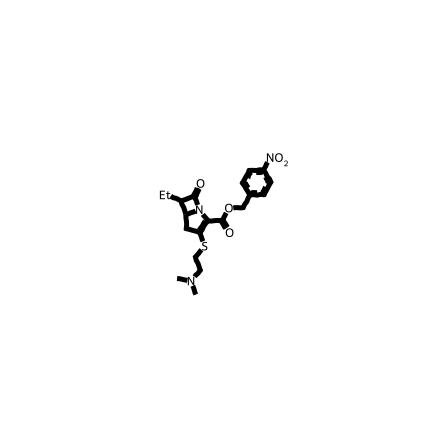 CCC1C(=O)N2C(C(=O)OCc3ccc([N+](=O)[O-])cc3)=C(SCCN(C)C)CC12